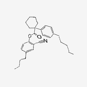 CCCCCc1ccc(C2(C(=O)Oc3ccc(CCCC)cc3C#N)CCCCC2)cc1